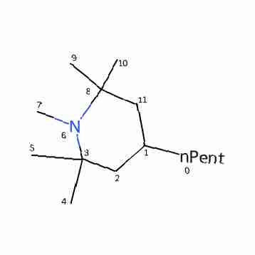 CCCCCC1CC(C)(C)N(C)C(C)(C)C1